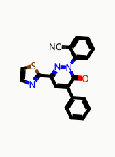 N#Cc1ccccc1-n1nc(-c2nccs2)cc(-c2ccccc2)c1=O